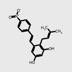 CC(C)=CCc1c(O)cc(O)cc1C=Cc1ccc([N+](=O)[O-])cc1